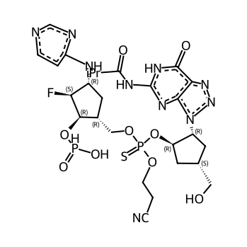 CC(C)C(=O)Nc1nc2c(nnn2[C@@H]2C[C@H](CO)C[C@H]2OP(=S)(OCCC#N)OC[C@H]2C[C@@H](Nc3ccncn3)[C@H](F)[C@@H]2O[PH](=O)O)c(=O)[nH]1